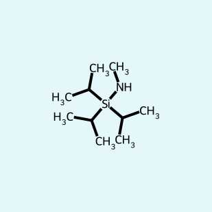 CN[Si](C(C)C)(C(C)C)C(C)C